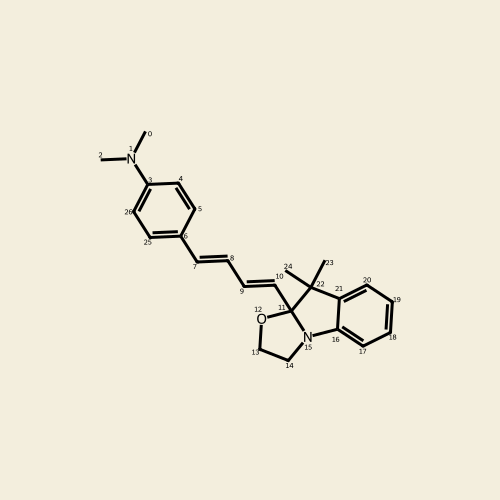 CN(C)c1ccc(/C=C/C=C/C23OCCN2c2ccccc2C3(C)C)cc1